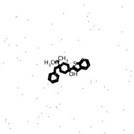 CN(C)C1(Cc2ccccc2)CCC(O)(c2cc3ccccc3s2)CC1